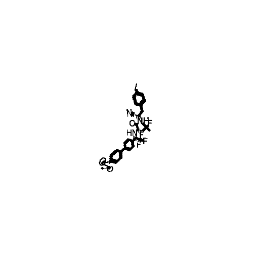 CC(C)(F)C[C@H](N[C@@H](c1ccc(-c2ccc(S(C)(=O)=O)cc2)cc1)C(F)(F)F)C(=O)N[C@H](C#N)Cc1ccc(I)cc1